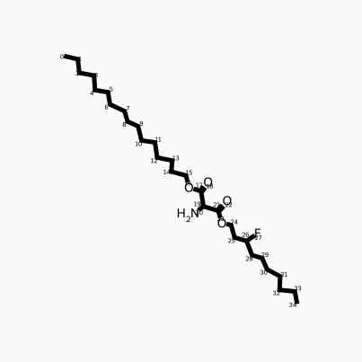 CCCCCCCCCCCCCCCCOC(=O)C(N)C(=O)OCCC(F)CCCCCCC